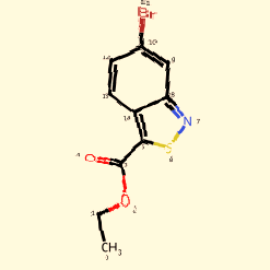 CCOC(=O)c1snc2cc(Br)ccc12